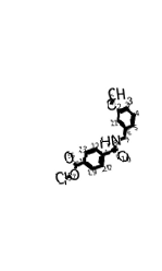 COc1cccc(CNC(=O)c2ccc(C(=O)OCl)cc2)c1